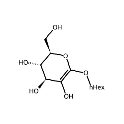 CCCCCCOC1=C(O)[C@@H](O)[C@H](O)[C@@H](CO)O1